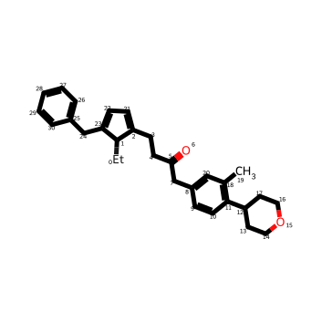 CCC1C(CCC(=O)Cc2ccc(C3CCOCC3)c(C)c2)=CC=C1Cc1ccccc1